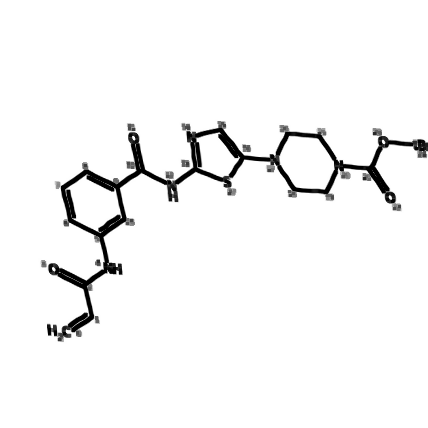 C=CC(=O)Nc1cccc(C(=O)Nc2ncc(N3CCN(C(=O)OC(C)(C)C)CC3)s2)c1